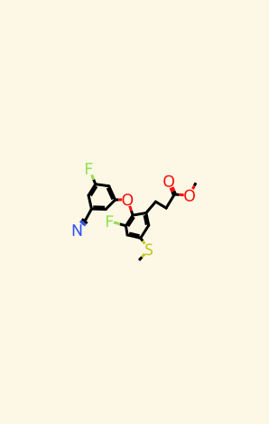 COC(=O)CCc1cc(SC)cc(F)c1Oc1cc(F)cc(C#N)c1